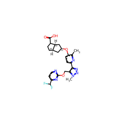 Cc1nc(-c2nnn(C)c2COc2nccc(C(F)F)n2)ccc1O[C@H]1C[C@H]2CCC(C(=O)O)[C@H]2C1